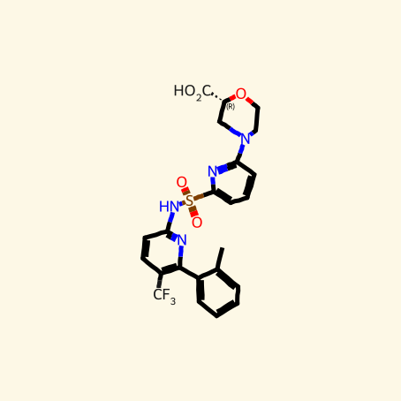 Cc1ccccc1-c1nc(NS(=O)(=O)c2cccc(N3CCO[C@@H](C(=O)O)C3)n2)ccc1C(F)(F)F